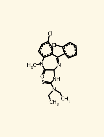 CCN(CC)C(=S)NC1N=C(c2ccccc2Cl)c2cc(Cl)ccc2N(C)C1=O